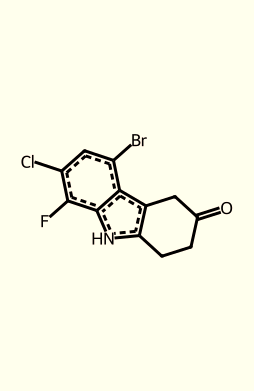 O=C1CCc2[nH]c3c(F)c(Cl)cc(Br)c3c2C1